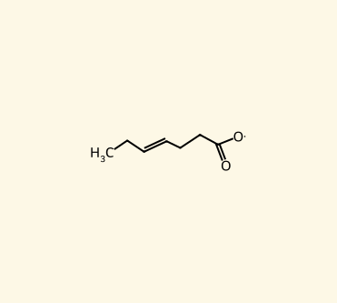 CCC=CCCC([O])=O